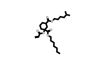 C=CC(=O)OC1(C(=O)OCCCCCCC)CCCC(C(=O)OCCCCC(C)C)C1